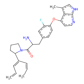 C=C/C=C(\C=C/C)C1CCCN1C(=O)C(N)Cc1ccc(Oc2ccnc3[nH]cc(C)c23)c(F)c1